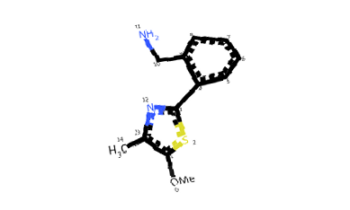 COc1sc(-c2ccccc2CN)nc1C